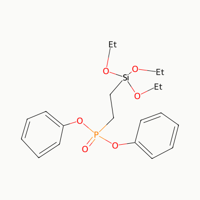 CCO[Si](CCP(=O)(Oc1ccccc1)Oc1ccccc1)(OCC)OCC